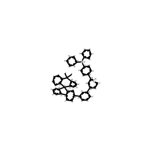 CC1(C)c2ccccc2C2(c3ccccc3-c3ccc(-c4cccc(-c5cccc(-c6ccc(N(c7ccccc7)c7ccccc7)cc6)c5)c4)cc32)c2ccccc21